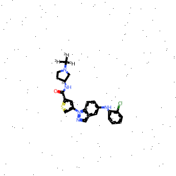 [2H]C([2H])([2H])N1CC[C@H](NC(=O)c2cc(-n3ncc4cc(Nc5ccccc5Cl)ccc43)cs2)C1